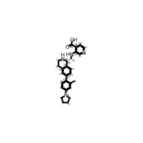 Cc1cc(N2CCCC2)ccc1-c1ccc2c(c1)CCN[C@@H]2CNc1cnccc1C(=O)O